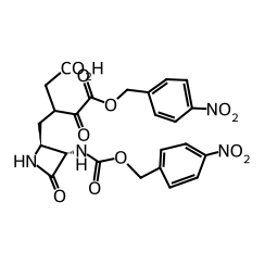 O=C(O)CC(C[C@@H]1NC(=O)[C@H]1NC(=O)OCc1ccc([N+](=O)[O-])cc1)C(=O)C(=O)OCc1ccc([N+](=O)[O-])cc1